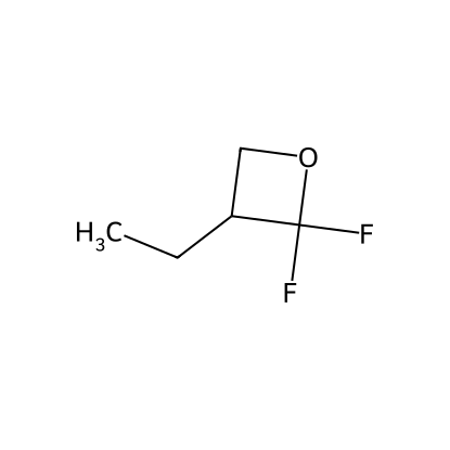 CCC1COC1(F)F